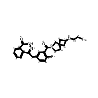 O=C(c1cc(Cc2n[nH]c(=O)c3ccccc23)ccc1F)N1CCC2(CC(OCCF)C2)C1